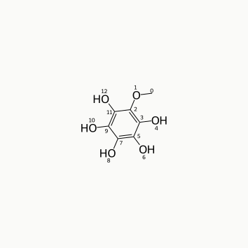 COc1c(O)c(O)c(O)c(O)c1O